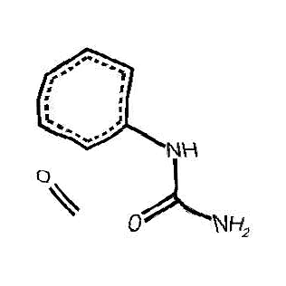 C=O.NC(=O)Nc1ccccc1